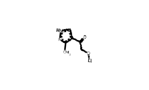 CCOCC(=O)c1c[nH]nc1C